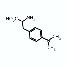 CN(C)c1ccc(C[C@H](N)C(=O)O)cc1